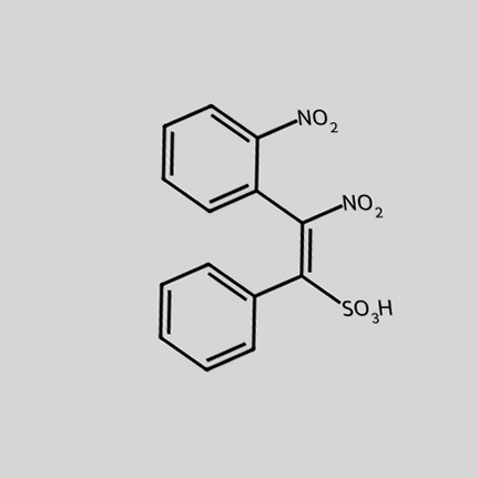 O=[N+]([O-])C(=C(c1ccccc1)S(=O)(=O)O)c1ccccc1[N+](=O)[O-]